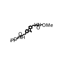 C=C1c2cc(CCCC(=O)NCCOC)ccc2-c2ccc(CCCC(=O)NCCOC(C)C)cc21